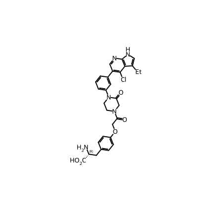 CCc1c[nH]c2ncc(-c3cccc(N4CCN(C(=O)COc5ccc(C[C@@H](N)C(=O)O)cc5)CC4=O)c3)c(Cl)c12